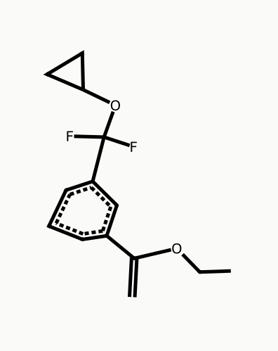 C=C(OCC)c1cccc(C(F)(F)OC2CC2)c1